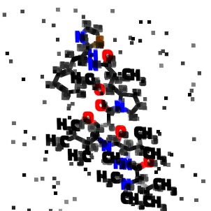 CC[C@H](C)[C@@H]([C@@H](CC(=O)N1CCCC1[C@H](OC)[C@@H](C)C(=O)N[C@@H](Cc1ccccc1)c1nccs1)OC)N(C)C(=O)[C@@H](NC(=O)[C@H](C(C)C)N(C)C)C(C)C